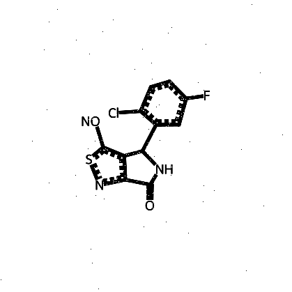 O=Nc1snc2c1C(c1cc(F)ccc1Cl)NC2=O